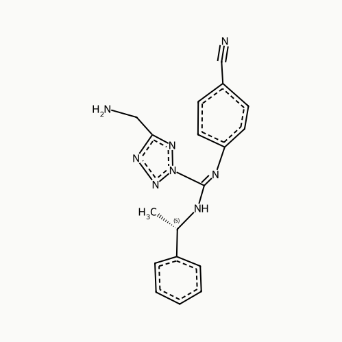 C[C@H](NC(=Nc1ccc(C#N)cc1)n1nnc(CN)n1)c1ccccc1